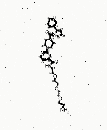 NCCOCCOCCOCCNC(=O)c1ccnc(N2CCC(C(=O)N3N=CCC3c3ccccc3)CC2)n1